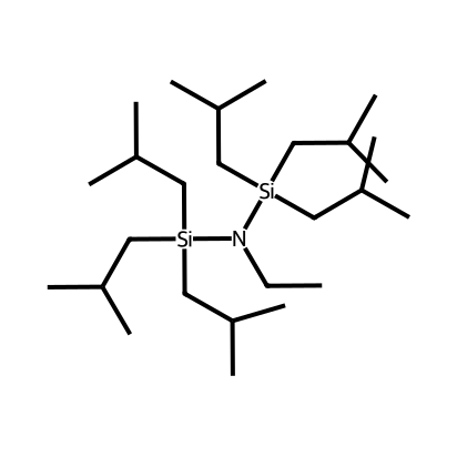 CCN([Si](CC(C)C)(CC(C)C)CC(C)C)[Si](CC(C)C)(CC(C)C)CC(C)C